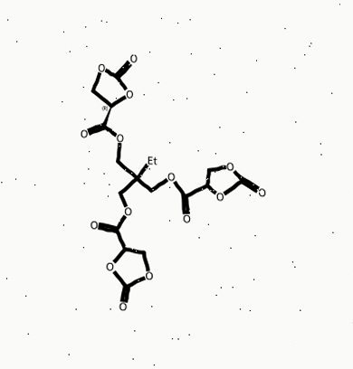 CCC(COC(=O)C1COC(=O)O1)(COC(=O)C1COC(=O)O1)COC(=O)[C@H]1COC(=O)O1